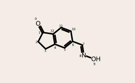 O=C1CCc2cc(C=NO)ccc21